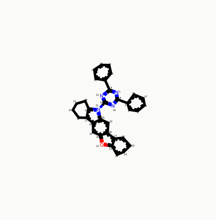 c1ccc(-c2nc(-c3ccccc3)nc(-n3c4c(c5cc6oc7ccccc7c6cc53)CCCC4)n2)cc1